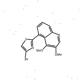 COc1[c]nc2cccc(-c3nc(C(C)C)cs3)c2c1OC